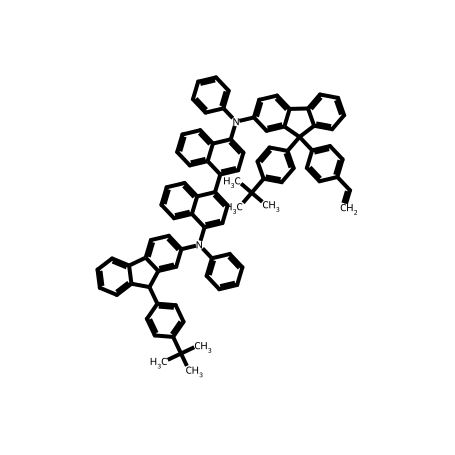 C=Cc1ccc(C2(c3ccc(C(C)(C)C)cc3)c3ccccc3-c3ccc(N(c4ccccc4)c4ccc(-c5ccc(N(c6ccccc6)c6ccc7c(c6)C(c6ccc(C(C)(C)C)cc6)c6ccccc6-7)c6ccccc56)c5ccccc45)cc32)cc1